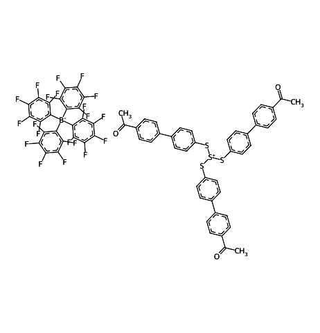 CC(=O)c1ccc(-c2ccc(S[S+](Sc3ccc(-c4ccc(C(C)=O)cc4)cc3)Sc3ccc(-c4ccc(C(C)=O)cc4)cc3)cc2)cc1.Fc1c(F)c(F)c([B-](c2c(F)c(F)c(F)c(F)c2F)(c2c(F)c(F)c(F)c(F)c2F)c2c(F)c(F)c(F)c(F)c2F)c(F)c1F